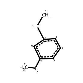 C[I]c1cccc([I]C)c1